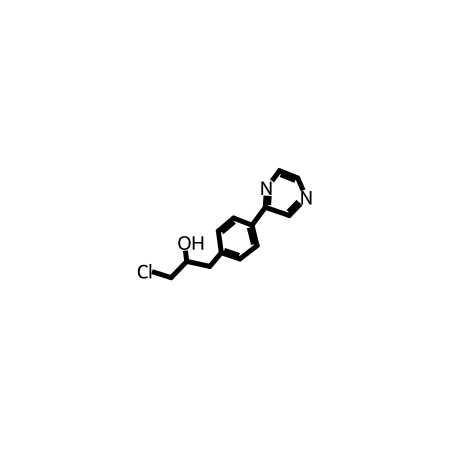 OC(CCl)Cc1ccc(-c2cnccn2)cc1